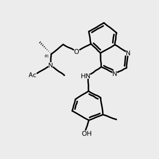 CC(=O)N(C)[C@H](C)COc1cccc2ncnc(Nc3ccc(O)c(C)c3)c12